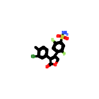 Cc1ccc(C2=C(c3cc(F)c(S(N)(=O)=O)cc3F)COC2=O)cc1Cl